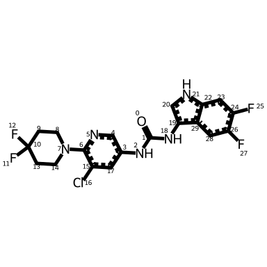 O=C(Nc1cnc(N2CCC(F)(F)CC2)c(Cl)c1)Nc1c[nH]c2cc(F)c(F)cc12